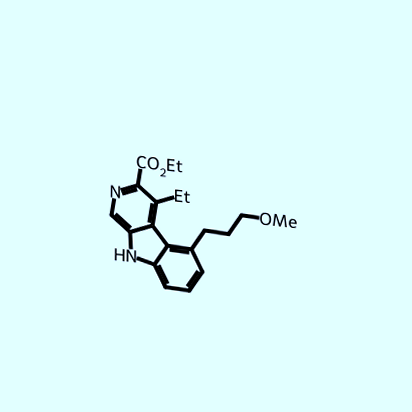 CCOC(=O)c1ncc2[nH]c3cccc(CCCOC)c3c2c1CC